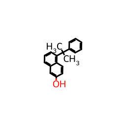 CC(C)(c1ccccc1)c1cccc2cc(O)ccc12